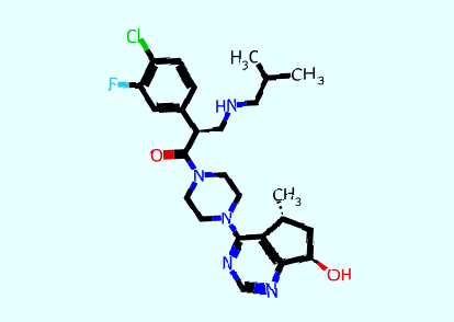 CC(C)CNC[C@@H](C(=O)N1CCN(c2ncnc3c2[C@H](C)C[C@H]3O)CC1)c1ccc(Cl)c(F)c1